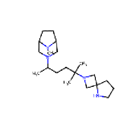 CC(CCC(C)(C)N1CC2(CCCN2)C1)N1CC2CCC(C1)N2C